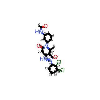 CC(=O)Nc1cccc(-n2c(C)c3c(=O)n(-c4cccc(Cl)c4Cl)[nH]c3cc2=O)c1